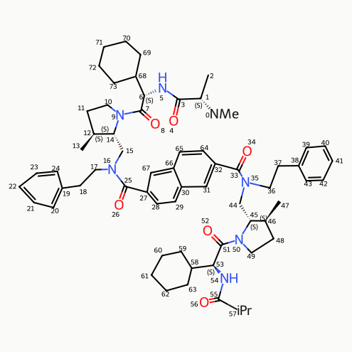 CN[C@@H](C)C(=O)N[C@H](C(=O)N1CC[C@H](C)[C@H]1CN(CCc1ccccc1)C(=O)c1ccc2cc(C(=O)N(CCc3ccccc3)C[C@@H]3[C@@H](C)CCN3C(=O)[C@@H](NC(=O)C(C)C)C3CCCCC3)ccc2c1)C1CCCCC1